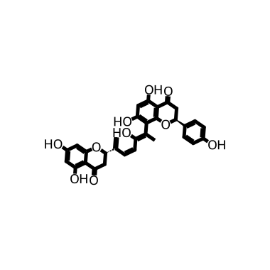 C=C(/C=C\C(O)=C(/C)c1c(O)cc(O)c2c1O[C@H](c1ccc(O)cc1)CC2=O)[C@@H]1CC(=O)c2c(O)cc(O)cc2O1